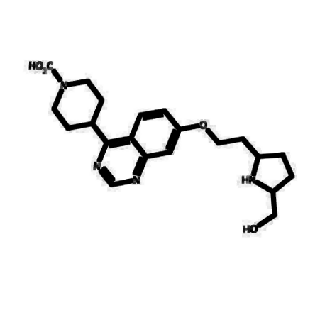 O=C(O)N1CCC(c2ncnc3cc(OCCC4CCC(CO)N4)ccc23)CC1